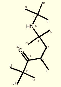 CC(CC(C)(C)NC(C)(C)C)C(=O)C(C)(C)C